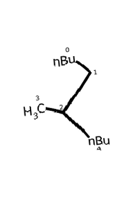 CCCCCC(C)CCCC